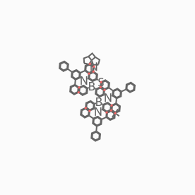 CC(C)(C)c1cc2c3c(c1)N(c1c(-c4ccccc4)cc(-c4ccccc4)cc1-c1ccccc1)c1cc4c(cc1B3c1ccccc1N2c1c(-c2ccccc2)cc(-c2ccccc2)cc1-c1ccccc1)B1c2ccccc2N(c2c(-c3ccccc3)cc(-c3ccccc3)cc2-c2ccccc2)c2cc(N3C5CC6CC7CC3CC67C5)cc(c21)S4